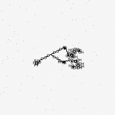 O=C(NCCCCc1cn(CCOCCOCCOCCC(CCOCCOCCOCCC(=O)Oc2c(F)c(F)c(F)c(F)c2F)CCOCCOCCOCNn2cc(CCCCNC(=O)Nc3ccc(O[C@H]4O[C@H](CCP(=O)(O)O)[C@@H](O)[C@H](O)[C@@H]4O)c(O)c3)nn2)nn1)Nc1ccc(O[C@H]2O[C@H](CCP(=O)(O)O)[C@@H](O)[C@H](O)[C@@H]2O)c(O)c1